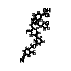 N#Cc1ccc(COc2cccc(-c3ccc(Cc4nc5ccc(C(=O)O)cc5n4C[C@@H]4CCOC4)c(F)c3)n2)c(F)c1